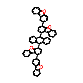 c1ccc2c(c1)oc1cc(-c3ccc(-c4c5ccccc5c(-c5ccc(-c6ccc7oc8ccccc8c7c6)c6oc7ccccc7c56)c5ccccc45)c4oc5ccccc5c34)ccc12